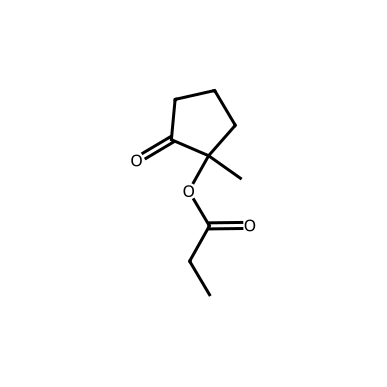 CCC(=O)OC1(C)CCCC1=O